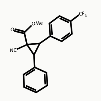 COC(=O)C1(C#N)C(c2ccccc2)C1c1ccc(C(F)(F)F)cc1